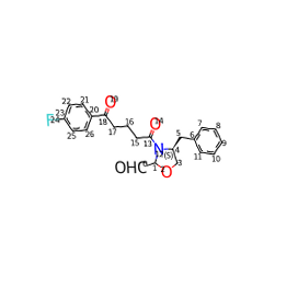 O=CC1OC[C@H](Cc2ccccc2)N1C(=O)CCCC(=O)c1ccc(F)cc1